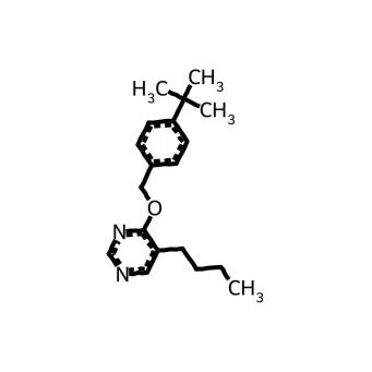 CCCCc1cncnc1OCc1ccc(C(C)(C)C)cc1